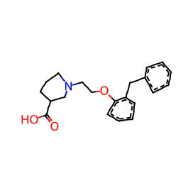 O=C(O)C1CCCN(CCOc2ccccc2Cc2ccccc2)C1